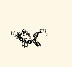 CCCN1CCCN(C2=CN(c3ccc(NC(=O)Nc4ccc(C(=O)N(C)CCN(C)C)cc4)cc3)SC(N3CCOCC3)=C2)CC1